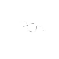 CC1(CBr)C=CC=C(CBr)C=C1